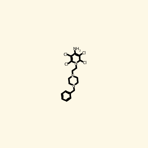 NC1=C(Cl)C(Cl)N(CCN2CCN(Cc3ccccc3)CC2)C(Cl)=C1Cl